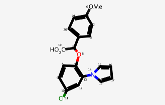 COc1ccc(C(Oc2ccc(Cl)cc2-n2cccc2)C(=O)O)cc1